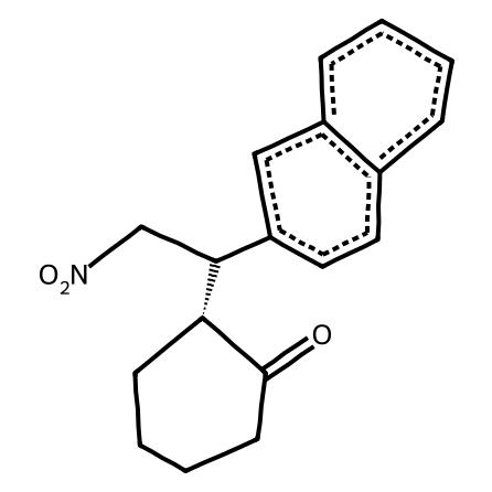 O=C1CCCC[C@@H]1C(C[N+](=O)[O-])c1ccc2ccccc2c1